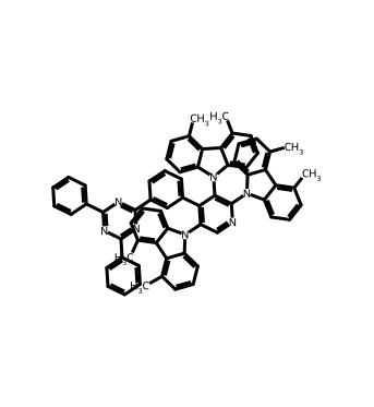 Cc1cccc2c1c1c(C)cccc1n2-c1cnc(-n2c3cccc(C)c3c3c(C)cccc32)c(-n2c3cccc(C)c3c3c(C)cccc32)c1-c1cccc(-c2nc(-c3ccccc3)nc(-c3ccccc3)n2)c1